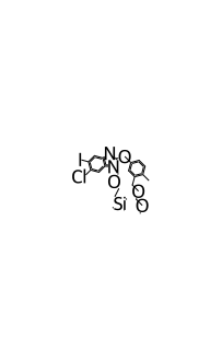 COCOCc1cc(Oc2nc3cc(I)c(Cl)cc3n2COCC[Si](C)(C)C)ccc1C